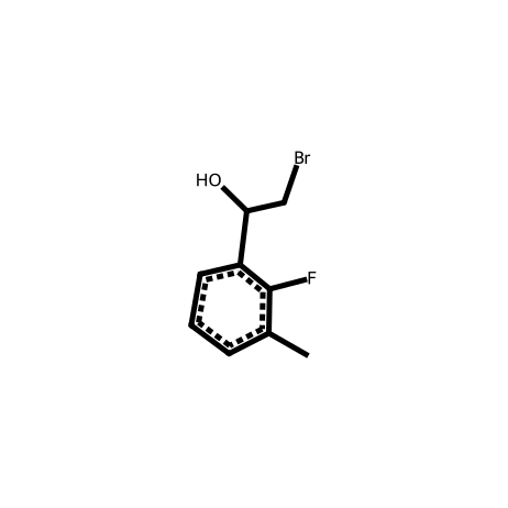 Cc1cccc(C(O)CBr)c1F